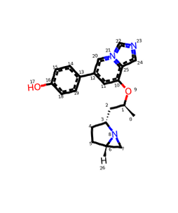 C[C@@H](C[C@H]1CC[C@H]2CN12)Oc1cc(-c2ccc(O)cc2)cn2cncc12